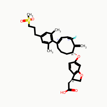 C=C1/C(F)=C\C=C(\c2c(C)cc(CCCS(C)(=O)=O)cc2C)CCC[C@H]1Oc1ccc2c(c1)OC[C@H]2CC(=O)O